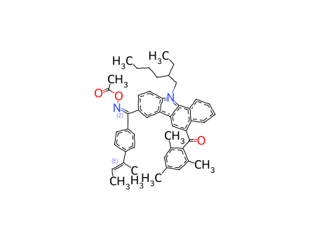 C/C=C(\C)c1ccc(/C(=N/OC(C)=O)c2ccc3c(c2)c2cc(C(=O)c4c(C)cc(C)cc4C)c4ccccc4c2n3CC(CC)CCCC)cc1